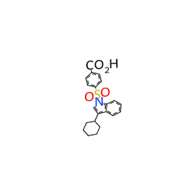 O=C(O)c1ccc(S(=O)(=O)n2cc(C3CCCCC3)c3ccccc32)cc1